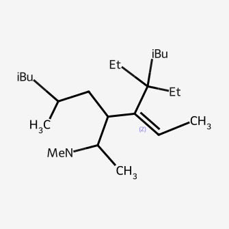 C/C=C(/C(CC(C)C(C)CC)C(C)NC)C(CC)(CC)C(C)CC